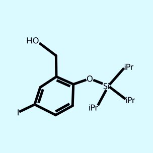 CC(C)[Si](Oc1ccc(I)cc1CO)(C(C)C)C(C)C